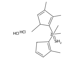 CC1=CC(C)[C]([Zr]([CH3])([CH3])(=[SiH2])[C]2=C(C)C=CC2)=C1C.Cl.Cl